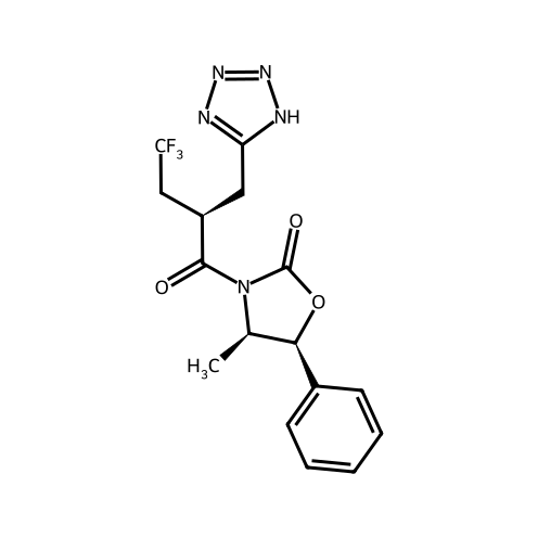 C[C@@H]1[C@H](c2ccccc2)OC(=O)N1C(=O)[C@H](Cc1nnn[nH]1)CC(F)(F)F